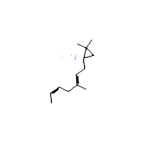 C/C=C\C/C(C)=C/C[C@]1(N)CC1(C)C